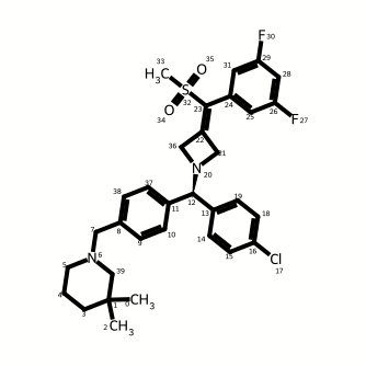 CC1(C)CCCN(Cc2ccc([C@H](c3ccc(Cl)cc3)N3CC(=C(c4cc(F)cc(F)c4)S(C)(=O)=O)C3)cc2)C1